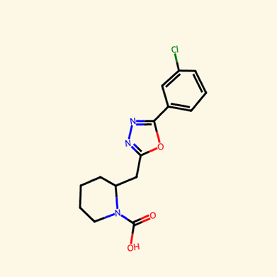 O=C(O)N1CCCCC1Cc1nnc(-c2cccc(Cl)c2)o1